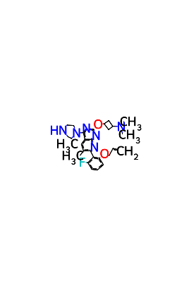 C=CCOc1cccc(F)c1-c1nc2nc(OC3CC(N(C)C)C3)nc(N3CCNC[C@H]3C)c2cc1C